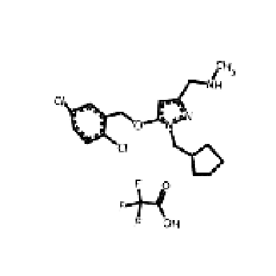 CNCc1cc(OCc2cc(Cl)ccc2Cl)n(CC2CCCC2)n1.O=C(O)C(F)(F)F